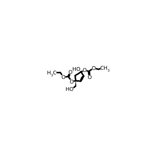 CCOC(=O)O[C@@]1(CO)C=C[C@@](O)(OC(=O)OCC)C1